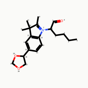 CCCCC(C=O)[N+]1=C(C)C(C)(C)c2cc(C3COCO3)ccc21